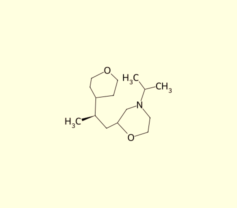 CC(C)N1CCOC(C[C@@H](C)C2CCOCC2)C1